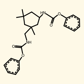 CC1(C)CC(NC(=O)Oc2ccccc2)CC(C)(CNC(=O)Oc2ccccc2)C1